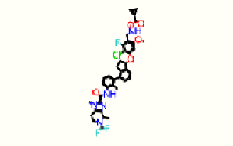 COc1cc(OC2CCc3c(-c4cccc(NC(=O)c5nc6c(n5C)CCN(C(F)F)C6C)c4C)cccc32)c(Cl)c(F)c1CNOC(=O)C1CC1